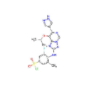 Cc1cc(S(=O)(=O)Cl)cc(F)c1Nc1nc2c(OC(C)C)c(-c3cn[nH]c3)ncn2n1